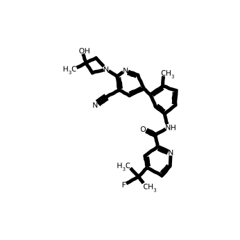 Cc1ccc(NC(=O)c2cc(C(C)(C)F)ccn2)cc1-c1cnc(N2CC(C)(O)C2)c(C#N)c1